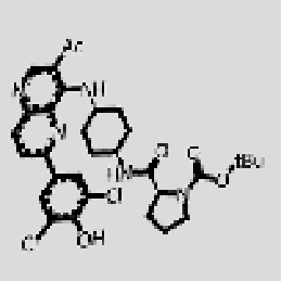 CC(=O)c1cnc2ccc(-c3cc(Cl)c(O)c(Cl)c3)nc2c1N[C@H]1CC[C@H](NC(=O)[C@@H]2CCCN2C(=O)OC(C)(C)C)CC1